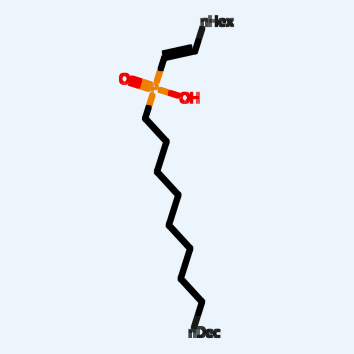 CCCCCCC=CP(=O)(O)CCCCCCCCCCCCCCCCCC